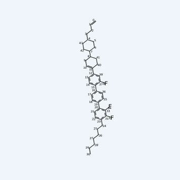 C=CCCC1CCC(C2CC=C(c3ccc(-c4ccc(-c5ccc(CCCCCCC)c(F)c5F)cc4)c(F)c3)CC2)CC1